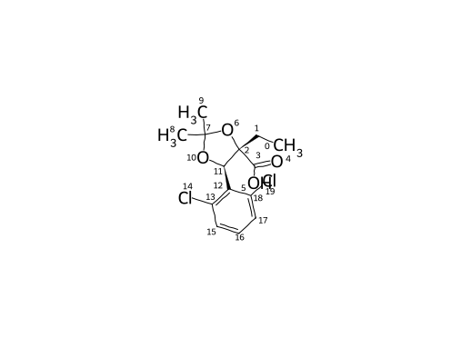 CC[C@]1(C(=O)O)OC(C)(C)O[C@@H]1c1c(Cl)cccc1Cl